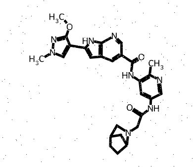 COc1nn(C)cc1-c1cc2cc(C(=O)Nc3cc(NC(=O)CN4CC5CCC4C5)cnc3C)cnc2[nH]1